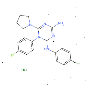 Cl.NC1=NC(Nc2ccc(Cl)cc2)N(c2ccc(F)cc2)C(N2CCCC2)=N1